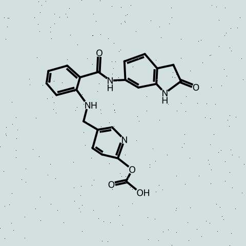 O=C1Cc2ccc(NC(=O)c3ccccc3NCc3ccc(OC(=O)O)nc3)cc2N1